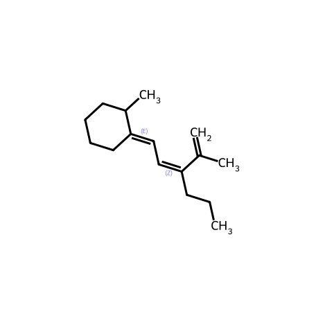 C=C(C)/C(=C\C=C1/CCCCC1C)CCC